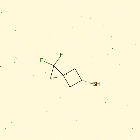 FC1(F)C[C@]12C[C@@H](S)C2